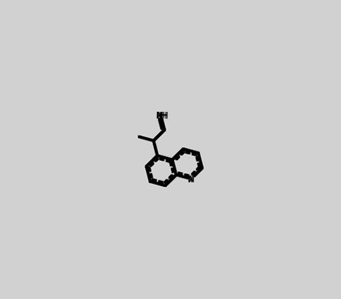 CC(C=N)c1cccc2ncccc12